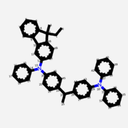 CCC1(C)c2ccccc2-c2cc(N(c3ccccc3)c3ccc(C(C)c4ccc(N(c5ccccc5)c5ccccc5)cc4)cc3)ccc21